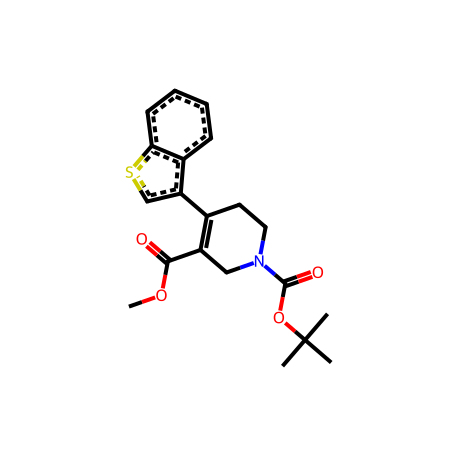 COC(=O)C1=C(c2csc3ccccc23)CCN(C(=O)OC(C)(C)C)C1